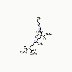 COC(=O)C(CC/C=C(\C)CCC(C/C=C/C=C/CO)(C(=O)OC)C(=O)OC)C(=O)OC